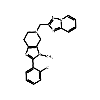 Cn1c(-c2ccccc2Cl)nc2c1CN(Cc1nc3ccccn3n1)CC2